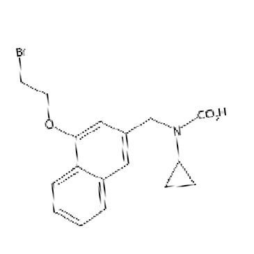 O=C(O)N(Cc1cc(OCCBr)c2ccccc2c1)C1CC1